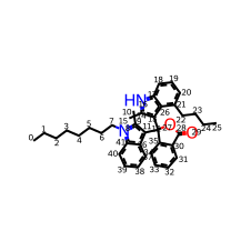 CCCCCCCCn1c(C)c(C2(c3c(C)[nH]c4cccc(CCCC)c34)OC(=O)c3ccccc32)c2ccccc21